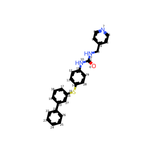 O=C(NCc1ccncc1)Nc1ccc(Sc2cccc(-c3ccccc3)c2)cc1